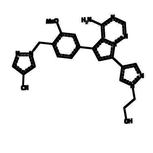 COc1cc(-c2cc(-c3cnn(CCO)c3)n3ncnc(N)c23)ccc1Cn1cc(C#N)cn1